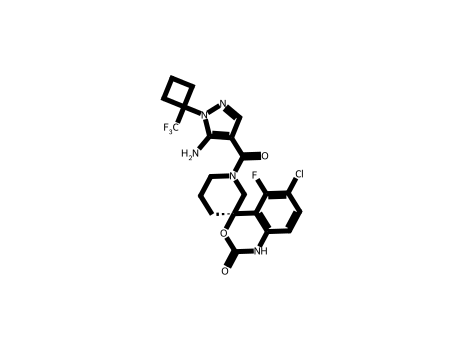 Nc1c(C(=O)N2CCC[C@@]3(C2)OC(=O)Nc2ccc(Cl)c(F)c23)cnn1C1(C(F)(F)F)CCC1